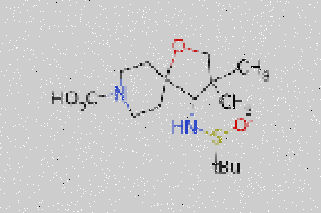 CC1(C)COC2(CCN(C(=O)O)CC2)[C@H]1N[S+]([O-])C(C)(C)C